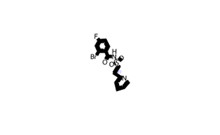 O=C(NS(=O)(=O)/C=C/c1ccccn1)c1ccc(F)cc1Br